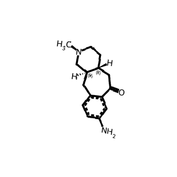 CN1CC[C@@H]2CC(=O)c3cc(N)ccc3C[C@H]2C1